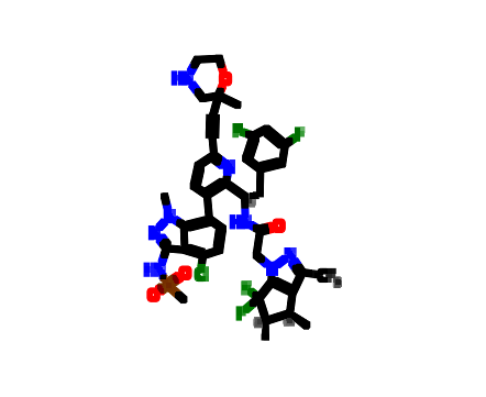 C[C@@H]1c2c(C(F)(F)F)nn(CC(=O)N[C@@H](Cc3cc(F)cc(F)c3)c3nc(C#CC4(C)CNCCO4)ccc3-c3ccc(Cl)c4c(NS(C)(=O)=O)nn(C)c34)c2C(F)(F)[C@@H]1C